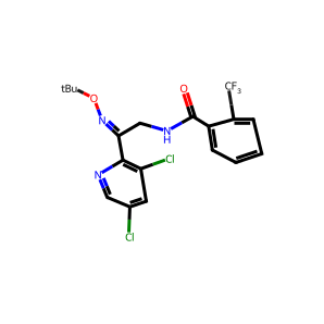 CC(C)(C)O/N=C(\CNC(=O)c1ccccc1C(F)(F)F)c1ncc(Cl)cc1Cl